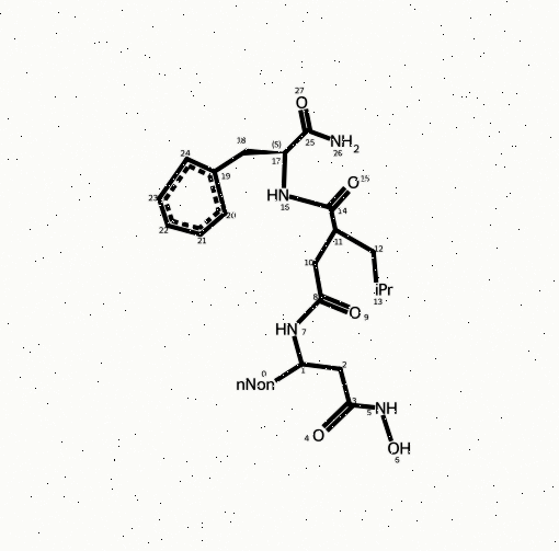 CCCCCCCCCC(CC(=O)NO)NC(=O)CC(CC(C)C)C(=O)N[C@@H](Cc1ccccc1)C(N)=O